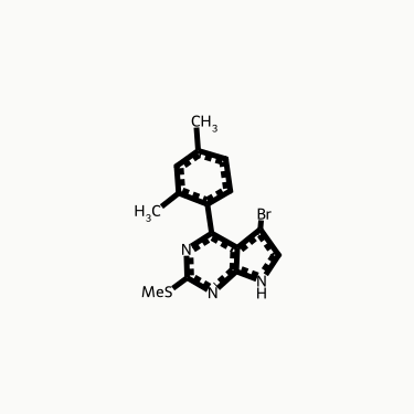 CSc1nc(-c2ccc(C)cc2C)c2c(Br)c[nH]c2n1